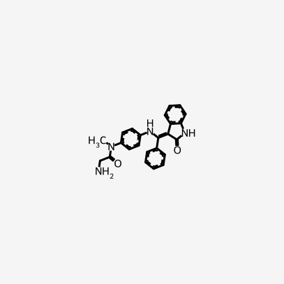 CN(C(=O)CN)c1ccc(NC(=C2C(=O)Nc3ccccc32)c2ccccc2)cc1